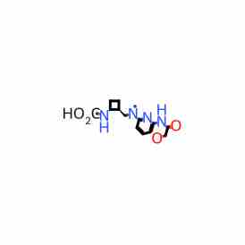 CN(C[C@@H]1CC[C@H]1NC(=O)O)c1ccc2c(n1)NC(=O)CO2